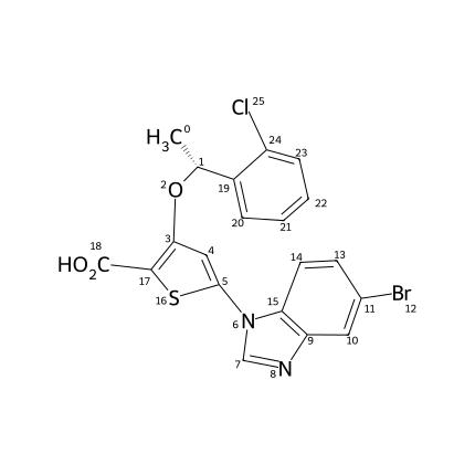 C[C@@H](Oc1cc(-n2cnc3cc(Br)ccc32)sc1C(=O)O)c1ccccc1Cl